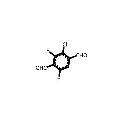 O=Cc1cc(F)c(C=O)c(F)c1Cl